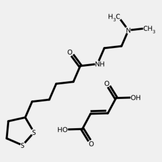 CN(C)CCNC(=O)CCCCC1CCSS1.O=C(O)/C=C/C(=O)O